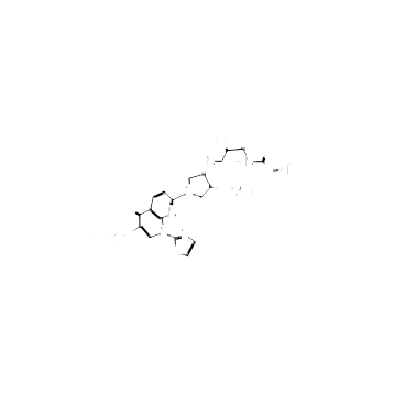 CCOC(=O)c1cn(-c2nccs2)c2nc(N3C[C@H](NCC(=O)[C@H](C)NC(=O)OC(C)(C)C)[C@@H](OC)C3)ccc2c1=O